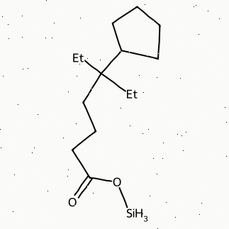 CCC(CC)(CCCC(=O)O[SiH3])C1CCCC1